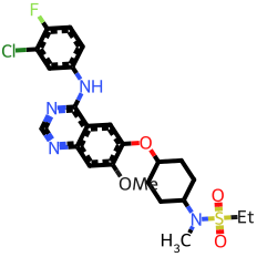 CCS(=O)(=O)N(C)C1CCC(Oc2cc3c(Nc4ccc(F)c(Cl)c4)ncnc3cc2OC)CC1